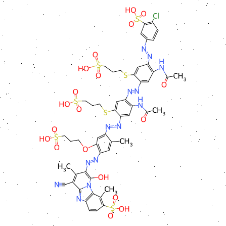 CC(=O)Nc1cc(N=Nc2cc(SCCCS(=O)(=O)O)c(N=Nc3cc(OCCCS(=O)(=O)O)c(N=Nc4c(C)c(C#N)c5nc6ccc(S(=O)(=O)O)c(C)c6n5c4O)cc3C)cc2NC(C)=O)c(SCCCS(=O)(=O)O)cc1N=Nc1ccc(Cl)c(S(=O)(=O)O)c1